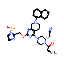 C=CC(=O)N1CCN(c2nc(OCc3nccn3PI)nc3c2CCN(c2cccc4ccccc24)C3)C[C@@H]1CC#N